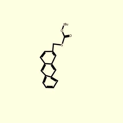 CC(C)(C)OC(=O)SCc1ccc2cc3ccccc3cc2c1